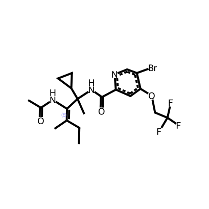 CC/C(C)=C(/NC(C)=O)C(C)(NC(=O)c1cc(OCC(F)(F)F)c(Br)cn1)C1CC1